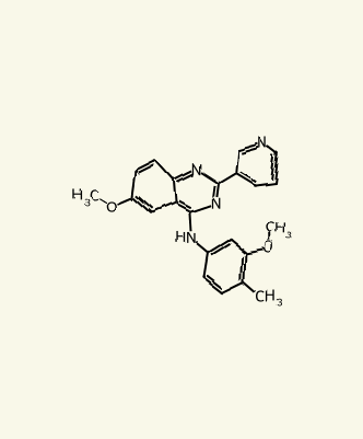 COc1ccc2nc(-c3cccnc3)nc(Nc3ccc(C)c(OC)c3)c2c1